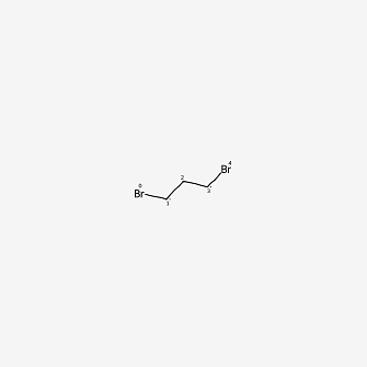 Br[CH]C[CH]Br